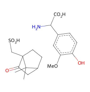 CC1(C)C2CCC1(CS(=O)(=O)O)C(=O)C2.COc1cc(C(N)C(=O)O)ccc1O